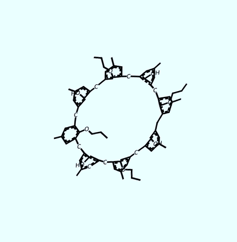 CCCOc1c2cc(C)cc1Cc1cc(C)cc(c1O)Cc1cc(C)cc(c1OCCC)Cc1cc(C)cc(c1O)Cc1cc(C)cc(c1OCCC)Cc1cc(C)cc(c1O)Cc1cc(C)cc(c1OCCC)Cc1cc(C)cc(c1O)C2